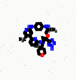 Cc1cnc(N[C@H]2CC[C@H](N[C@@H](C)COC3(c4nn[nH]n4)CC3)CC2)cc1-c1cccc(NCC2(C#N)CCOCC2)n1